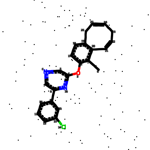 Cc1c(Oc2cncc(-c3cccc(Cl)c3)n2)ccc2c1/C=C\C/C=C\C2